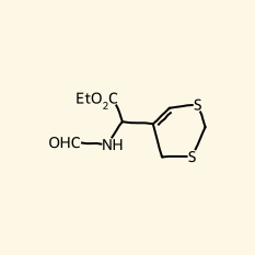 CCOC(=O)C(NC=O)C1=CSCSC1